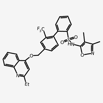 CCc1cc(OCc2ccc(-c3ccccc3S(=O)(=O)Nc3onc(C)c3C)c(C(F)(F)F)c2)c2ccccc2n1